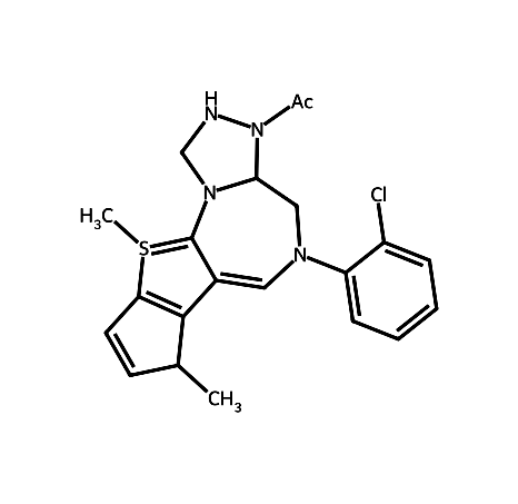 CC(=O)N1NCN2C3=S(C)C4=C(C3=CN(c3ccccc3Cl)CC21)C(C)C=C4